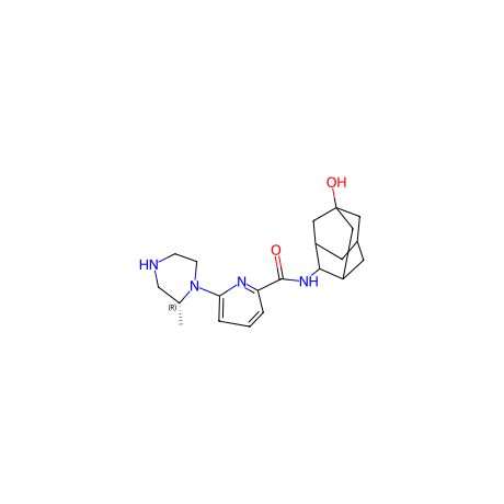 C[C@@H]1CNCCN1c1cccc(C(=O)NC2C3CC4CC2CC(O)(C4)C3)n1